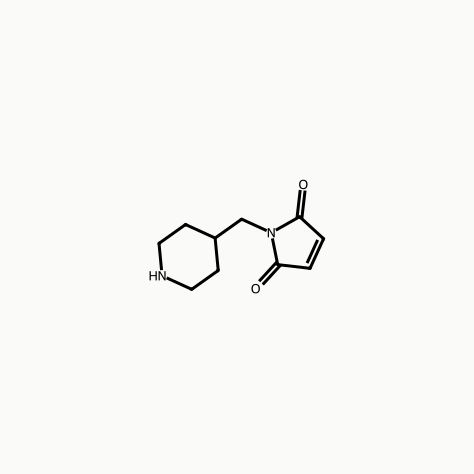 O=C1C=CC(=O)N1CC1CCNCC1